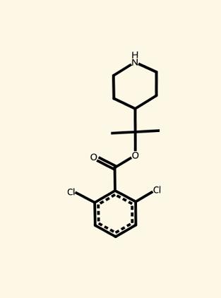 CC(C)(OC(=O)c1c(Cl)cccc1Cl)C1CCNCC1